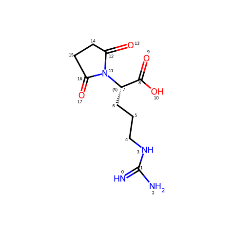 N=C(N)NCCC[C@@H](C(=O)O)N1C(=O)CCC1=O